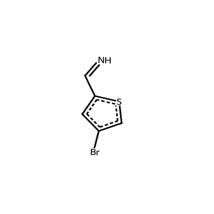 N=Cc1cc(Br)cs1